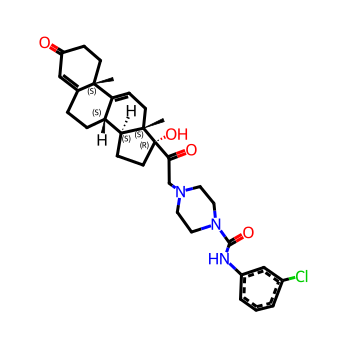 C[C@]12CCC(=O)C=C1CC[C@@H]1C2=CC[C@@]2(C)[C@H]1CC[C@]2(O)C(=O)CN1CCN(C(=O)Nc2cccc(Cl)c2)CC1